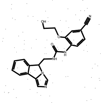 N#Cc1ccc(NC(=O)NCC2c3ccccc3-c3cncn32)c(OCCO)c1